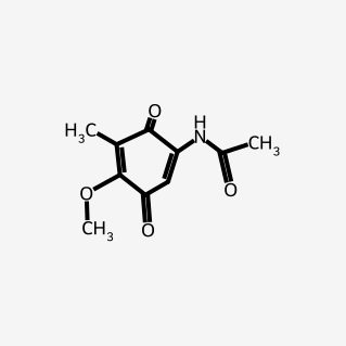 COC1=C(C)C(=O)C(NC(C)=O)=CC1=O